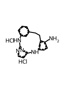 Cl.Cl.Nc1ccc2cc1CCc1cccc(c1)Nc1nccc(n1)N2